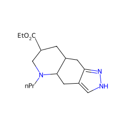 CCCN1CC(C(=O)OCC)CC2Cc3n[nH]cc3CC21